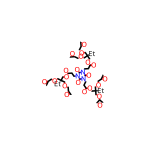 CCC(COCC1CO1)(COCC1CO1)COC(=O)CCn1c(=O)n(CCC(=O)OCC(CC)(COCC2CO2)COCC2CO2)c(=O)n(CCC(=O)OCC(CC)(COCC2CO2)COC2COC2)c1=O